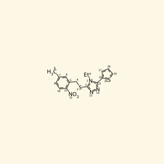 CCn1c(SCc2cc(C)ccc2[N+](=O)[O-])nnc1-c1cccs1